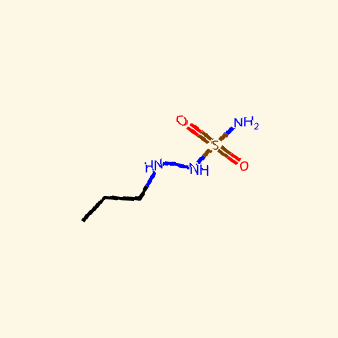 CCCNNS(N)(=O)=O